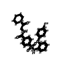 O=C(NCC(=O)N1CCCCC1)c1ccc(S(=O)(=O)Nc2ccccc2Oc2ccc(F)cc2)cc1